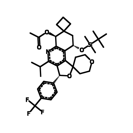 CC(=O)O[C@@H]1c2nc(C(C)C)c3c(c2[C@@H](O[Si](C)(C)C(C)(C)C)CC12CCC2)C1(CCOCC1)O[C@@H]3c1ccc(C(F)(F)F)cc1